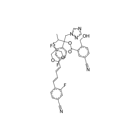 CC(SC1COC(C=CC=Cc2ccc(C#N)cc2F)OC1)C(Cn1cncn1)(OC(=O)c1cc(C#N)ccc1CO)c1ccc(F)cc1F